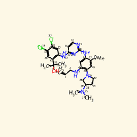 C=CCNc1cc(Nc2nccc(Nc3cc(Cl)c(Cl)cc3C(C)(C)O)n2)c(OC)cc1N1CC[C@@H](N(C)C)C1